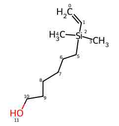 C=C[Si](C)(C)CCCCCCO